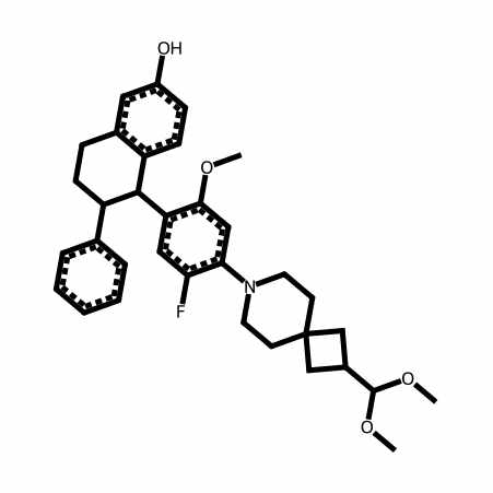 COc1cc(N2CCC3(CC2)CC(C(OC)OC)C3)c(F)cc1C1c2ccc(O)cc2CCC1c1ccccc1